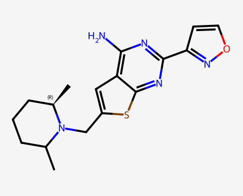 CC1CCC[C@@H](C)N1Cc1cc2c(N)nc(-c3ccon3)nc2s1